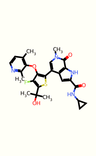 Cc1ccnc(C)c1Oc1c(-c2cn(C)c(=O)c3[nH]c(C(=O)NC4CC4)cc23)sc(C(C)(C)O)c1F